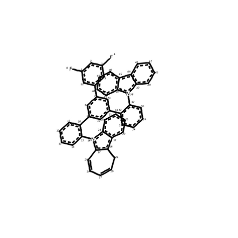 Fc1cc(F)cc(-c2cc(-c3ccccc3-n3c4c(c5ccccc53)CC=CC=C4)cc(-c3ccccc3-n3c4ccccc4c4ccccc43)c2)c1